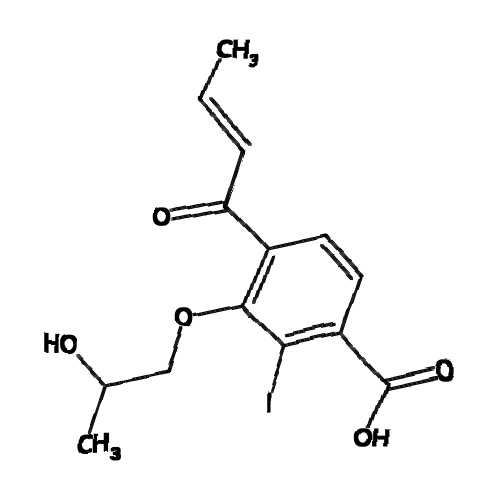 CC=CC(=O)c1ccc(C(=O)O)c(I)c1OCC(C)O